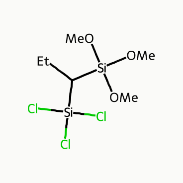 CCC([Si](Cl)(Cl)Cl)[Si](OC)(OC)OC